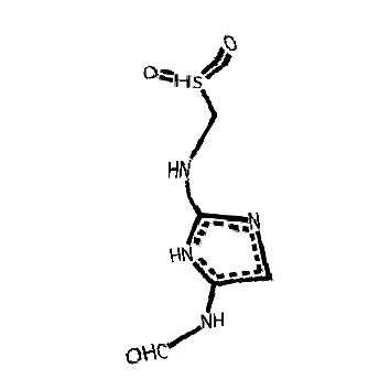 O=CNc1cnc(NC[SH](=O)=O)[nH]1